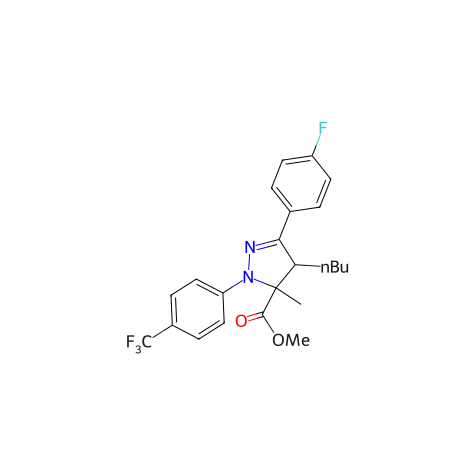 CCCCC1C(c2ccc(F)cc2)=NN(c2ccc(C(F)(F)F)cc2)C1(C)C(=O)OC